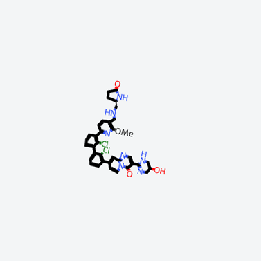 COc1nc(-c2cccc(-c3cccc(-c4ccn5c(=O)c(C6=NCC(O)CN6)cnc5c4)c3Cl)c2Cl)ccc1CNC[C@H]1CCC(=O)N1